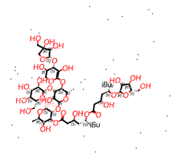 B[C@@H]1O[C@H](C)[C@H](O)[C@H](OC(=O)C[C@@H](O)C[C@H](OC(=O)C[C@@H](O)C[C@H](O[C@@H]2O[C@@H](CO)[C@H](O)[C@H]2O)[C@@H](C)CC)[C@@H](C)CC)[C@H]1O[C@@H]1O[C@@H](C)[C@H](OC2=C(O)[C@@H](O[C@@H]3OC[C@](O)(CO)[C@H]3O)[C@H](O)CO2)[C@@H](O[C@@H]2O[C@H](CO)[C@@H](O)[C@H](O)[C@H]2O)[C@H]1O